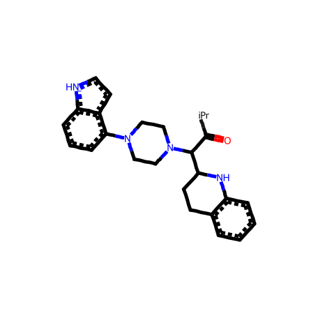 CC(C)C(=O)C(C1CCc2ccccc2N1)N1CCN(c2cccc3[nH]ccc23)CC1